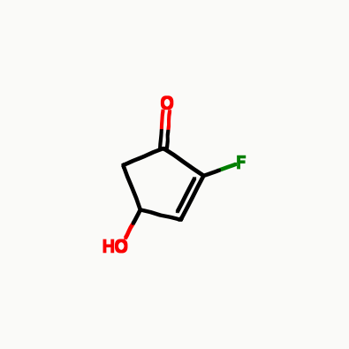 O=C1CC(O)C=C1F